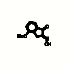 COc1cccc2c1C/C(=N\O)C2=O